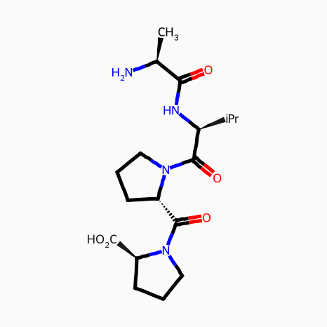 CC(C)[C@H](NC(=O)[C@H](C)N)C(=O)N1CCC[C@H]1C(=O)N1CCC[C@H]1C(=O)O